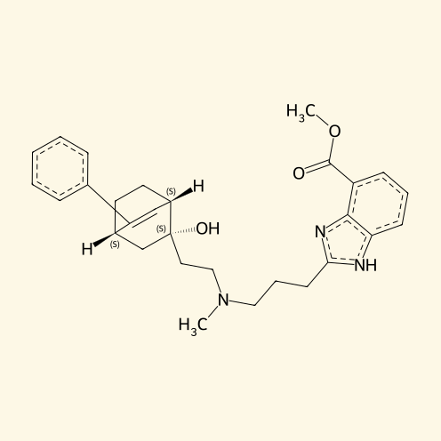 COC(=O)c1cccc2[nH]c(CCCN(C)CC[C@@]3(O)C[C@@H]4CC[C@H]3C=C4c3ccccc3)nc12